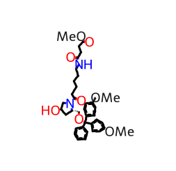 COC(=O)CCC(=O)NCCCCCC(=O)N1C[C@H](O)C[C@H]1COC(c1ccccc1)(c1ccc(OC)cc1)c1ccc(OC)cc1